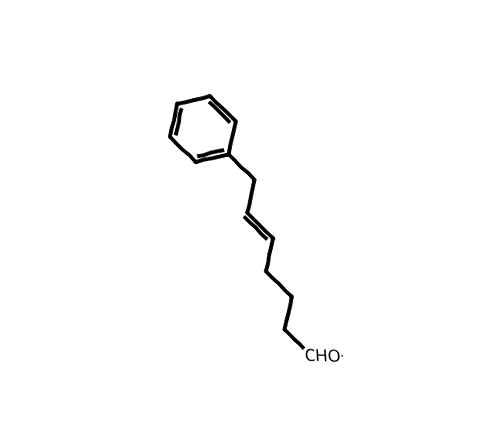 O=[C]CCCC=CCc1ccccc1